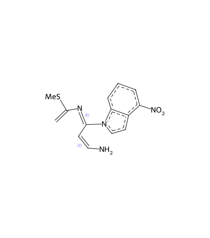 C=C(/N=C(\C=C/N)n1ccc2c([N+](=O)[O-])cccc21)SC